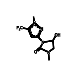 CN1CC(O)N(c2cc(C(F)(F)F)n(C)n2)C1=O